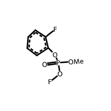 COP(=O)(OF)Oc1ccccc1F